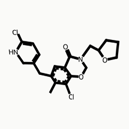 Cc1c(CC2=CC=C(Cl)NC2)cc2c(c1Cl)OCN(CC1CCCO1)C2=O